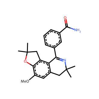 COc1cc2c(c3c1OC(C)(C)C3)C(c1cccc(C(N)=O)c1)=NC(C)(C)C2